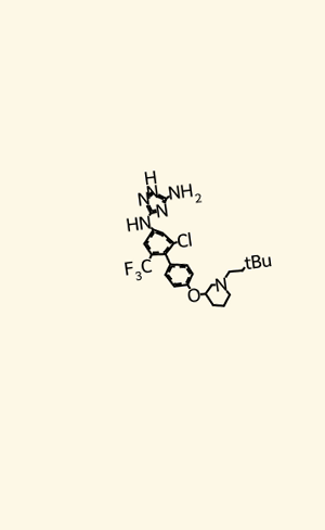 CC(C)(C)CCN1CCCC(Oc2ccc(-c3c(Cl)cc(Nc4n[nH]c(N)n4)cc3C(F)(F)F)cc2)C1